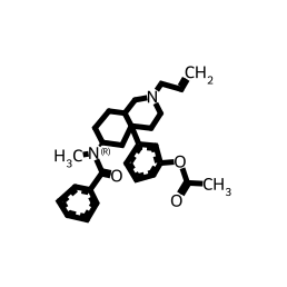 C=CCN1CCC2(c3cccc(OC(C)=O)c3)C[C@H](N(C)C(=O)c3ccccc3)CCC2C1